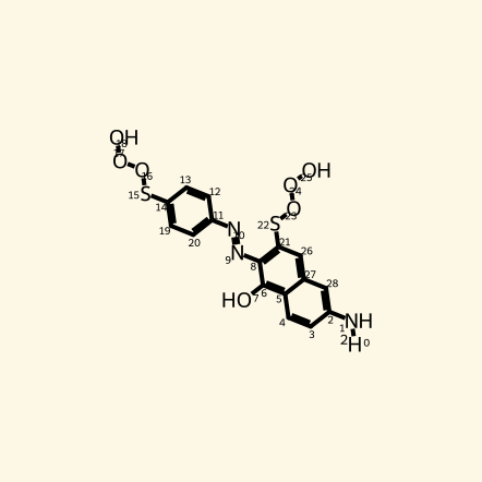 [2H]Nc1ccc2c(O)c(/N=N/c3ccc(SOOO)cc3)c(SOOO)cc2c1